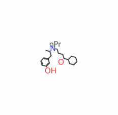 CCCN(CCCC(=O)C1CCCCC1)C(C)Cc1cccc(O)c1